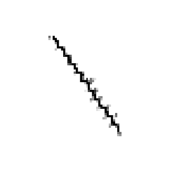 CCCCCCCCCCCCCCCCCCCCCCC.Cl